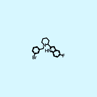 Fc1ccc2[nH]c(C3CCCCN3Cc3cccc(Br)c3)cc2c1